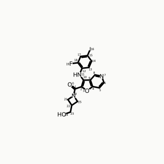 O=C(c1oc2ccncc2c1Nc1ccc(I)cc1F)N1CC(CO)C1